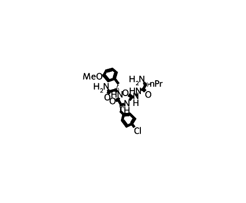 CCC[C@@H](N)C(=O)NNC(=O)N[C@@H](Cc1ccc(Cl)cc1)C(=O)N[C@@H](Cc1cccc(OC)c1)C(N)=O